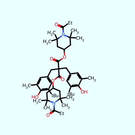 CCC(=O)N1C(C)(C)CC(OC(=O)C(Cc2cc(C)c(O)c(C(C)(C)C)c2)(Cc2cc(C)c(O)c(C(C)(C)C)c2)C(=O)OC2CC(C)(C)N(C(=O)CC)C(C)(C)C2)CC1(C)C